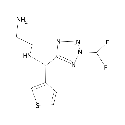 NCCNC(c1ccsc1)c1nnn(C(F)F)n1